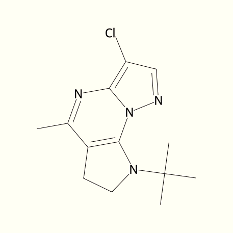 Cc1nc2c(Cl)cnn2c2c1CCN2C(C)(C)C